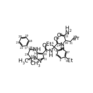 CCc1ccc(C(CC)(NC(=O)c2cnn3c2N[C@@H](c2ccccc2)CC3(C)C)C(=O)NC(CC(C)C)C(N)=O)cc1